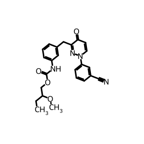 CCC(COC(=O)Nc1cccc(Cc2nn(-c3cccc(C#N)c3)ccc2=O)c1)OC